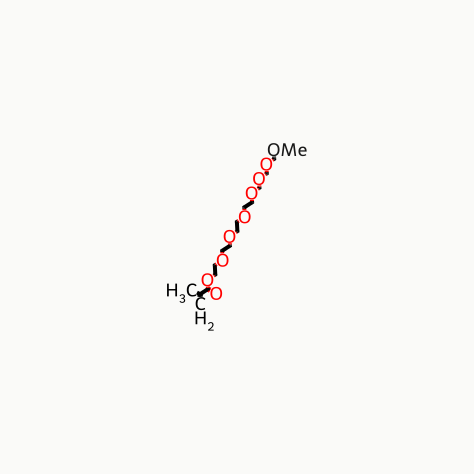 C=C(C)C(=O)OCCOCCOCCOCCOCOCOCOC